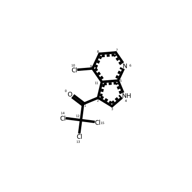 O=C(c1c[nH]c2nccc(Cl)c12)C(Cl)(Cl)Cl